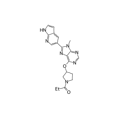 CCC(=O)N1CCC(Oc2ncnc3c2nc(-c2cnc4[nH]ccc4c2)n3C)C1